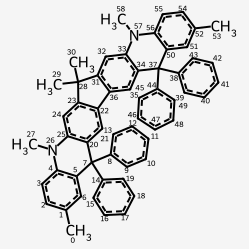 Cc1ccc2c(c1)C(c1ccccc1)(c1ccccc1)c1cc3c(cc1N2C)C(C)(C)c1cc2c(cc1-3)C(c1ccccc1)(c1ccccc1)c1cc(C)ccc1N2C